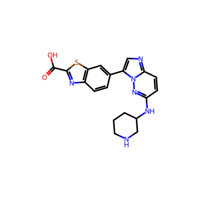 O=C(O)c1nc2ccc(-c3cnc4ccc(NC5CCCNC5)nn34)cc2s1